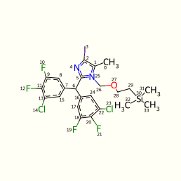 Cc1c(I)nc(C(c2cc(F)c(F)c(Cl)c2)c2cc(F)c(F)c(Cl)c2)n1COCC[Si](C)(C)C